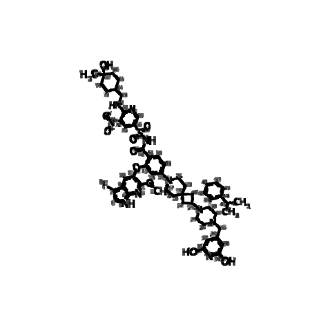 COc1nc2[nH]cc(F)c2cc1Oc1cc(N2CCC3(CC2)CC(N2CCN(Cc4cc(O)nc(O)c4)C[C@H]2c2ccccc2C(C)C)C3)ccc1C(=O)NS(=O)(=O)c1cnc(NCC2CCC(C)(O)CC2)c([N+](=O)[O-])c1